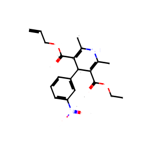 C=CCOC(=O)C1=C(C)NC(C)=C(C(=O)OCC)C1c1cccc([N+](=O)[O-])c1